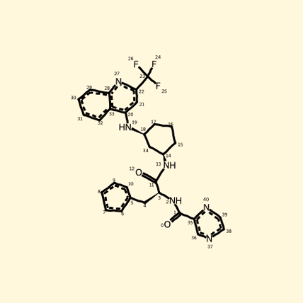 O=C(N[C@@H](Cc1ccccc1)C(=O)N[C@@H]1CCC[C@H](Nc2cc(C(F)(F)F)nc3ccccc23)C1)c1cnccn1